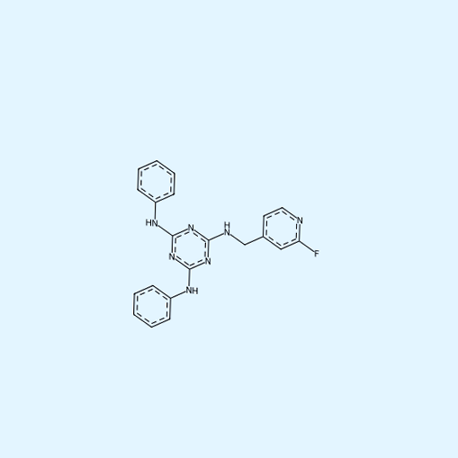 Fc1cc(CNc2nc(Nc3ccccc3)nc(Nc3ccccc3)n2)ccn1